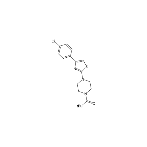 CC(C)(C)C(=O)N1CCN(c2nc(-c3ccc(Cl)cc3)cs2)CC1